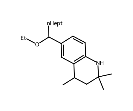 CCCCCCCC(OCC)c1ccc2c(c1)C(C)CC(C)(C)N2